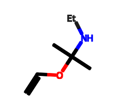 C=COC(C)(C)NCC